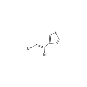 BrC=C(Br)c1ccsc1